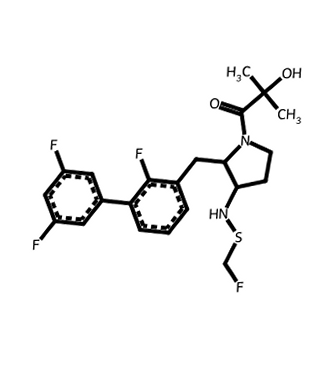 CC(C)(O)C(=O)N1CCC(NSCF)C1Cc1cccc(-c2cc(F)cc(F)c2)c1F